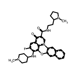 CN1CCC(Nc2c(F)cc3c(=O)c(C(=O)NCCC4CCCN4C)cn4c3c2Oc2cc3ccccc3cc2-4)CC1